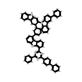 C1=C(c2cccc3oc4c(-c5nc(-c6ccccc6)nc(-c6ccc(-c7ccccc7)cc6)n5)cccc4c23)CC(C2Cc3c(oc4ccccc34)C=C2n2c3ccccc3c3cc(-c4ccccc4)ccc32)CC1